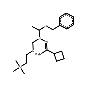 CN/C(=N\N(COCC[Si](C)(C)C)C(C)OCc1ccccc1)C1CCC1